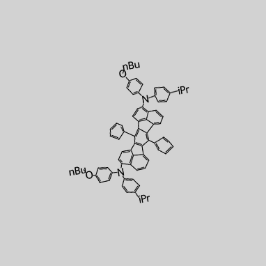 CCCCOc1ccc(N(c2ccc(C(C)C)cc2)c2ccc3c4c(-c5ccccc5)c5c6ccc(N(c7ccc(OCCCC)cc7)c7ccc(C(C)C)cc7)c7cccc(c5c(-c5ccccc5)c4c4cccc2c43)c76)cc1